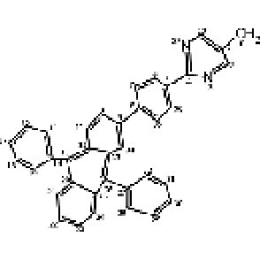 Cc1cnc(-c2ccc(-c3ccc4c(-c5ccccc5)c5ccccc5c(-c5ccccc5)c4c3)cc2)nc1